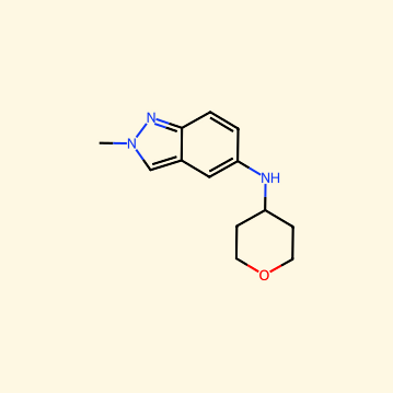 Cn1cc2cc(NC3CCOCC3)ccc2n1